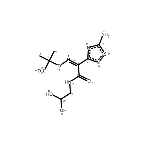 CC(C)(O/N=C(\C(=O)NCC(O)O)c1nsc(N)n1)C(=O)O